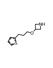 c1csc(CCCOC2CNC2)c1